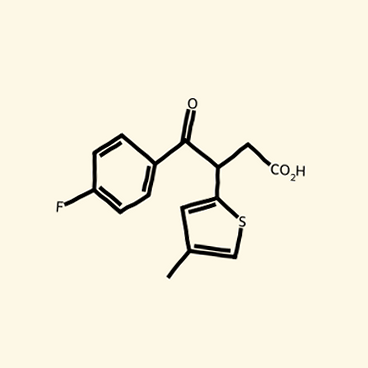 Cc1csc(C(CC(=O)O)C(=O)c2ccc(F)cc2)c1